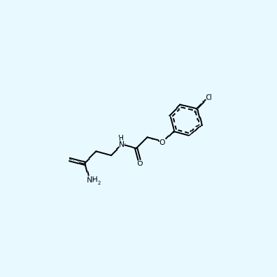 C=C(N)CCNC(=O)COc1ccc(Cl)cc1